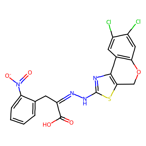 O=C(O)C(Cc1ccccc1[N+](=O)[O-])=NNc1nc2c(s1)COc1cc(Cl)c(Cl)cc1-2